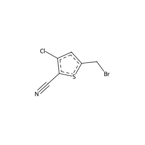 N#Cc1sc(CBr)cc1Cl